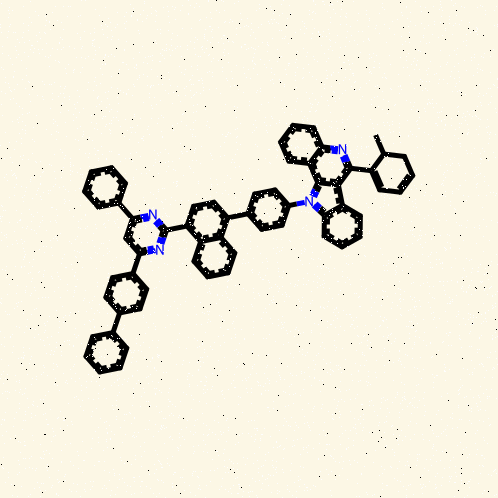 CC1CC=CC=C1c1nc2ccccc2c2c1c1ccccc1n2-c1ccc(-c2ccc(-c3nc(-c4ccccc4)cc(-c4ccc(-c5ccccc5)cc4)n3)c3ccccc23)cc1